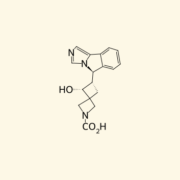 O=C(O)N1CC2(C[C@@H]([C@@H]3c4ccccc4-c4cncn43)[C@H]2O)C1